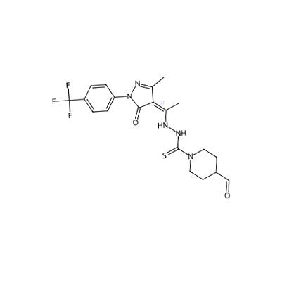 CC1=NN(c2ccc(C(F)(F)F)cc2)C(=O)/C1=C(/C)NNC(=S)N1CCC(C=O)CC1